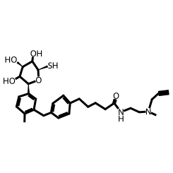 C#CCN(C)CCNC(=O)CCCCc1ccc(Cc2cc([C@@H]3O[C@H](S)C(O)[C@H](O)C3O)ccc2C)cc1